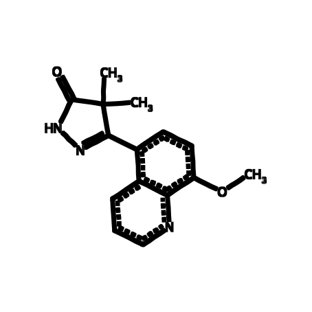 COc1ccc(C2=NNC(=O)C2(C)C)c2cccnc12